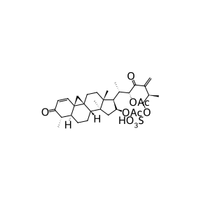 C=C(C(=O)[C@H](OC(C)=O)[C@@H](C)[C@H]1[C@@H](OC(C)=O)C[C@@]2(C)[C@@H]3CC[C@H]4[C@H](C)C(=O)C=C[C@@]45C[C@@]35CC[C@]12C)[C@@H](C)COS(=O)(=O)O